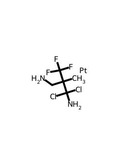 CC(CN)(C(F)(F)F)C(N)(Cl)Cl.[Pt]